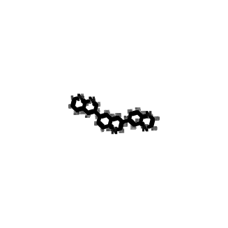 c1cnc2ncc(-c3ccc4ncc(-c5ccc6nccnc6c5)cc4c3)cc2c1